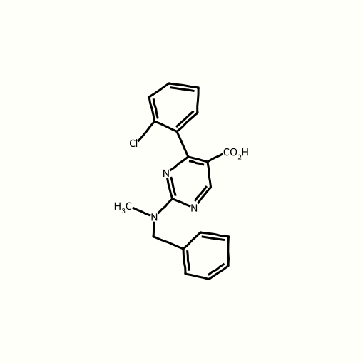 CN(Cc1ccccc1)c1ncc(C(=O)O)c(-c2ccccc2Cl)n1